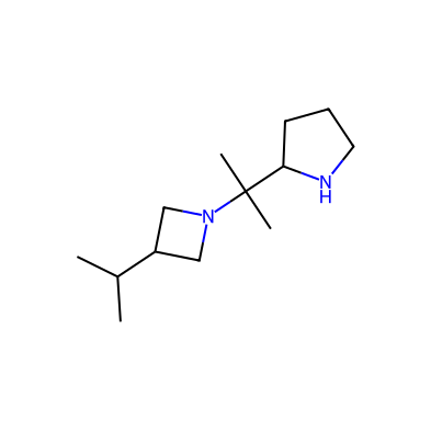 CC(C)C1CN(C(C)(C)C2CCCN2)C1